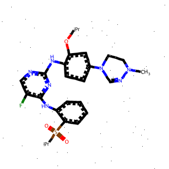 CC(C)Oc1cc(N2C=NN(C)CC2)ccc1Nc1ncc(F)c(Nc2ccccc2S(=O)(=O)C(C)C)n1